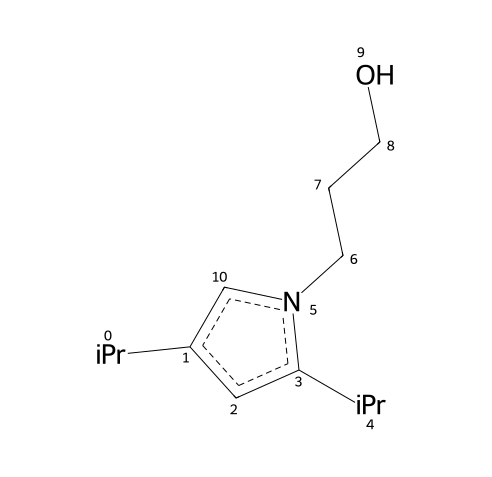 CC(C)c1cc(C(C)C)n(CCCO)c1